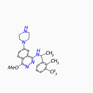 COc1nnc(NC(C)c2cccc(C(F)(F)F)c2C)c2cc(N3CCNCC3)ccc12